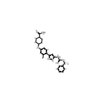 Cc1cc(OC2CCC(C(=O)O)CC2)ccc1-c1cc(NC(=O)O[C@H](C)c2ccccc2)no1